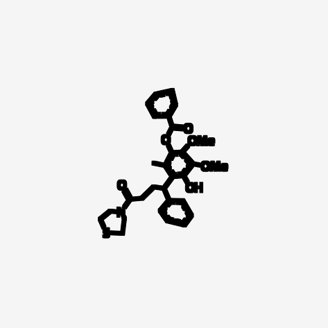 COc1c(O)c(C(CCC(=O)N2CCSCC2)c2ccccc2)c(C)c(OC(=O)c2ccccc2)c1OC